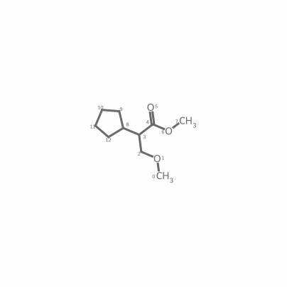 COCC(C(=O)OC)C1CCCC1